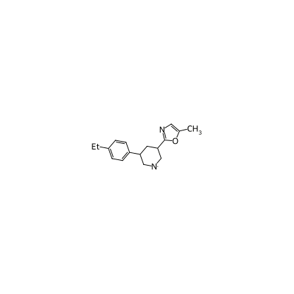 CCc1ccc(C2C[N]CC(c3ncc(C)o3)C2)cc1